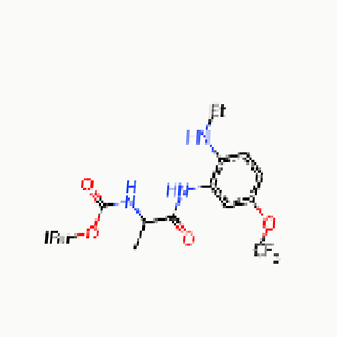 CCNc1ccc(OC(F)(F)F)cc1NC(=O)C(C)NC(=O)OC(C)(C)C